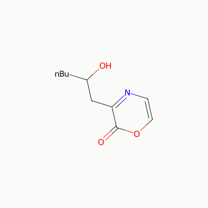 CCCCC(O)Cc1nccoc1=O